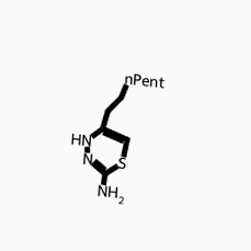 CCCCCCCC1=CSC(N)=NN1